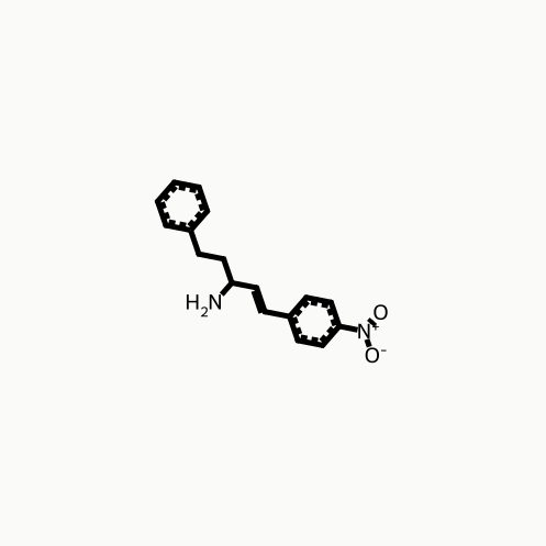 NC(C=Cc1ccc([N+](=O)[O-])cc1)CCc1ccccc1